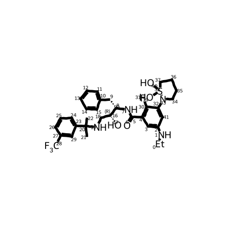 CCNc1cc(C(=O)N[C@@H](Cc2ccccc2)[C@H](O)CNC(C)(C)c2cccc(C(F)(F)F)c2)c(F)c(N2CCCCS2(O)O)c1